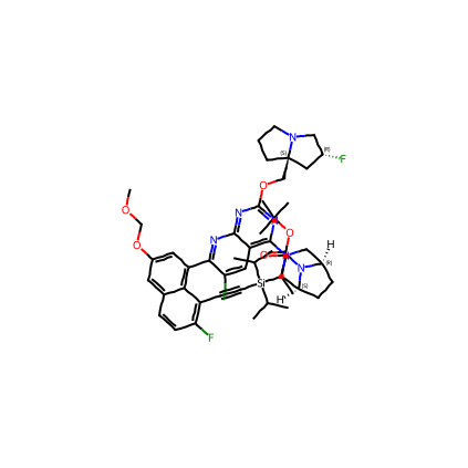 COCOc1cc(-c2nc3nc(OC[C@@]45CCCN4C[C@H](F)C5)nc(N4C[C@H]5CC[C@@H](C4)N5C(=O)OC(C)(C)C)c3cc2F)c2c(C#C[Si](C(C)C)(C(C)C)C(C)C)c(F)ccc2c1